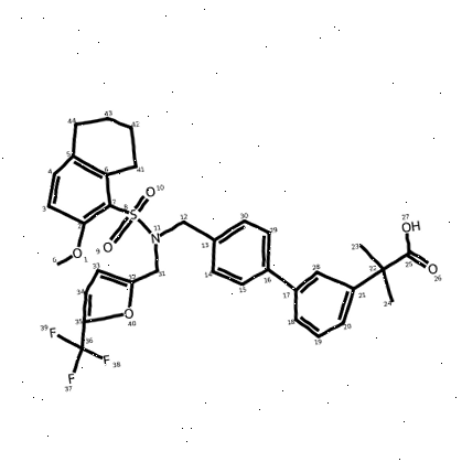 COc1ccc2c(c1S(=O)(=O)N(Cc1ccc(-c3cccc(C(C)(C)C(=O)O)c3)cc1)Cc1ccc(C(F)(F)F)o1)CCCC2